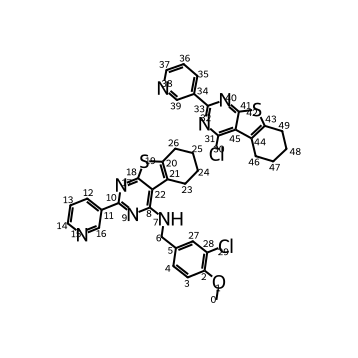 COc1ccc(CNc2nc(-c3cccnc3)nc3sc4c(c23)CCCC4)cc1Cl.Clc1nc(-c2cccnc2)nc2sc3c(c12)CCCC3